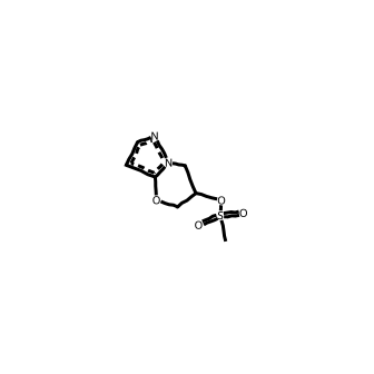 CS(=O)(=O)OC1COc2ccnn2C1